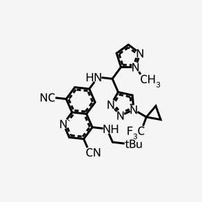 Cn1nccc1C(Nc1cc(C#N)c2ncc(C#N)c(NCC(C)(C)C)c2c1)c1cn(C2(C(F)(F)F)CC2)nn1